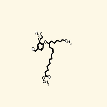 CCCCCCC(C/C=C\CCCCCCCC(=O)OC)Oc1ccc(C=O)cc1OCC